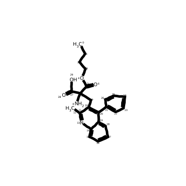 CCCCOC(=O)C(N)(Cc1c(C)nc2ccccc2c1-c1ccccc1)C(=O)O